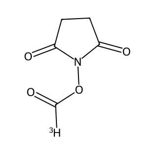 [3H]C(=O)ON1C(=O)CCC1=O